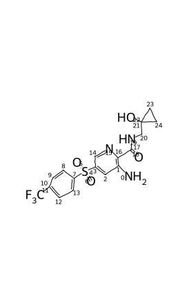 Nc1cc(S(=O)(=O)c2ccc(C(F)(F)F)cc2)cnc1C(=O)NCC1(O)CC1